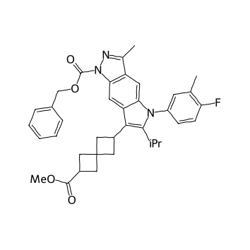 COC(=O)C1CC2(C1)CC(c1c(C(C)C)n(-c3ccc(F)c(C)c3)c3cc4c(C)nn(C(=O)OCc5ccccc5)c4cc13)C2